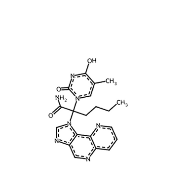 CCCCC(C(N)=O)(n1cc(C)c(O)nc1=O)n1cnc2cnc3cccnc3c21